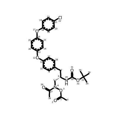 CC(=O)ON(C[C@H](Cc1ccc(Oc2ccc(Oc3ccc(Cl)cc3)cc2)cc1)NC(=O)OC(C)(C)C)C(C)=O